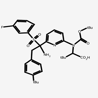 CC(C)(C)OC(=O)N(c1cccc(C(N)(Cc2ccc(C(C)(C)C)cc2)S(=O)(=O)c2cccc(F)c2)n1)C(C(=O)O)C(C)(C)C